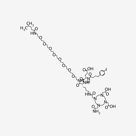 CC(C)CCC(=O)NCCOCCOCCOCCOCCOCCOCCOCCOCCNC(=O)[C@@H](CCCCNC(=O)CN1CCN(CC(N)=O)CCN(CC(=O)O)CCN(CC(=O)O)CC1)NC(=O)[C@@H](CCC(=O)O)NC(=O)CCCc1ccc(I)cc1